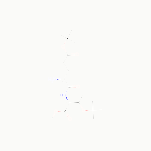 COC(=O)[C@@H](NC(=O)[C@@H](N)CCC(=O)OC(C)(C)C)C(C)OC(C)(C)C